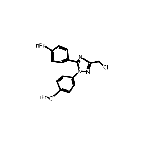 CCCc1ccc(-c2nc(CCl)nn2-c2ccc(OC(C)C)cc2)cc1